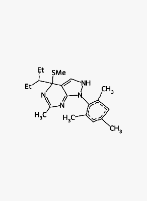 CCC(CC)C1(SC)N=C(C)N=C2C1=CNN2c1c(C)cc(C)cc1C